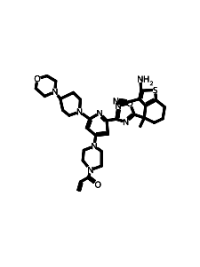 C=CC(=O)N1CCN(c2cc(-c3noc(C4(C)CCCc5sc(N)c(C#N)c54)n3)nc(N3CCC(N4CCOCC4)CC3)c2)CC1